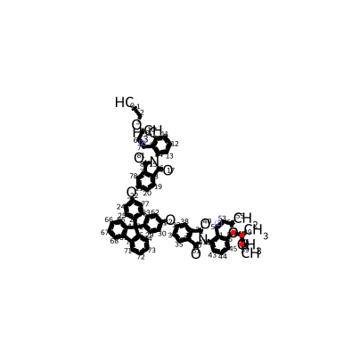 C#CCOC(=C)/C=C\c1c(C)cccc1N1C(=O)c2ccc(Oc3ccc(C4(c5ccc(Oc6ccc7c(c6)C(=O)N(c6cccc(CC(C)C)c6/C=C\C(=C)OCC#C)C7=O)cc5)c5ccccc5-c5ccccc54)cc3)cc2C1=O